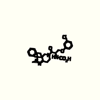 CN1N=C2CCN(C(=O)[C@@H](COc3cccc(Cl)c3)NC(=O)O)C[C@@]2(Cc2ccccc2)C1=O